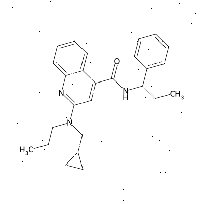 CCCN(CC1CC1)c1cc(C(=O)N[C@@H](CC)c2ccccc2)c2ccccc2n1